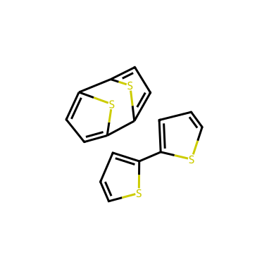 c1cc2sc1-c1ccc-2s1.c1csc(-c2cccs2)c1